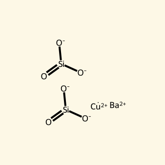 O=[Si]([O-])[O-].O=[Si]([O-])[O-].[Ba+2].[Cu+2]